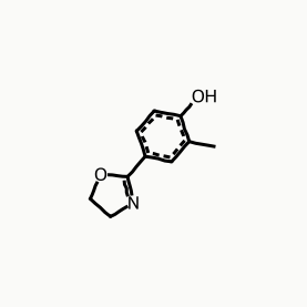 Cc1cc(C2=NCCO2)ccc1O